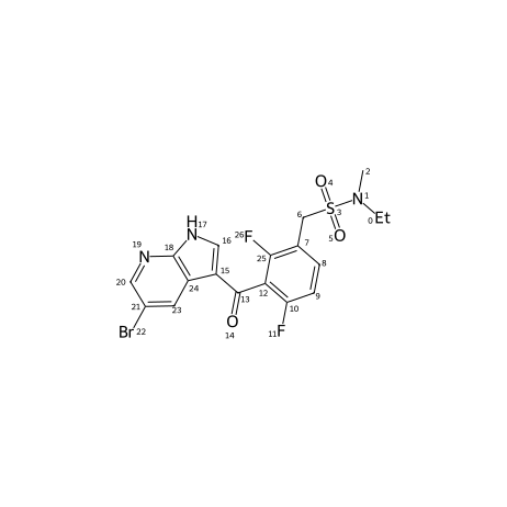 CCN(C)S(=O)(=O)Cc1ccc(F)c(C(=O)c2c[nH]c3ncc(Br)cc23)c1F